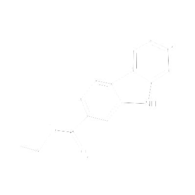 CCOC(=O)c1ccc2c(c1)[nH]c1ccccc12